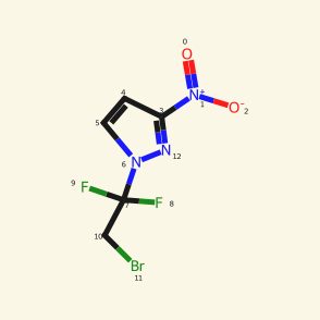 O=[N+]([O-])c1ccn(C(F)(F)CBr)n1